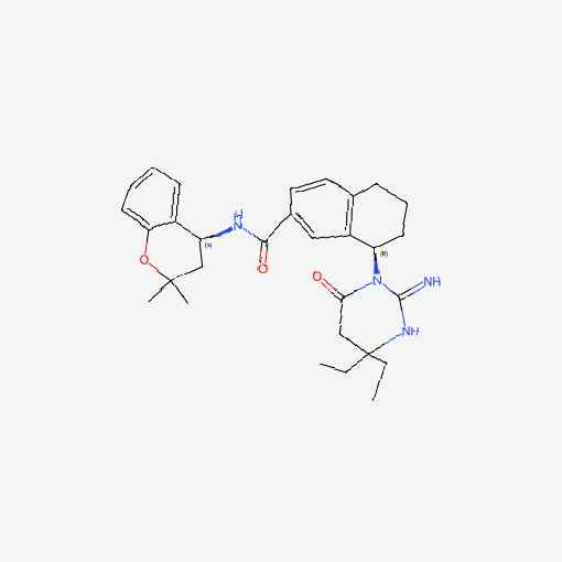 CCC1(CC)CC(=O)N([C@@H]2CCCc3ccc(C(=O)N[C@H]4CC(C)(C)Oc5ccccc54)cc32)C(=N)N1